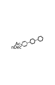 CCCCCCCCCCC1(C(C)=O)C=CC(c2ccc(-c3ccccc3)cc2)C=C1